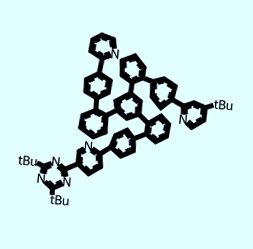 CC(C)(C)c1ccnc(-c2ccc(-c3ccccc3-c3cc(-c4ccccc4-c4ccc(-c5ccccn5)cc4)cc(-c4ccccc4-c4ccc(-c5ccc(-c6nc(C(C)(C)C)nc(C(C)(C)C)n6)cn5)cc4)c3)cc2)c1